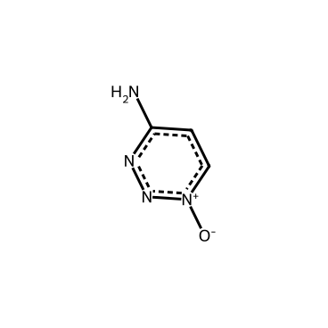 Nc1cc[n+]([O-])nn1